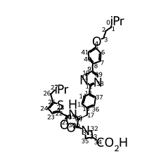 CC(C)CCCOc1ccc(-c2cnc(-c3ccc(C[C@H](NC(=O)c4ccc(CC(C)C)s4)C(=O)N4CC(C(=O)O)C4)cc3)nc2)cc1